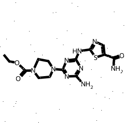 CCOC(=O)N1CCN(c2nc(N)nc(Nc3ncc(C(N)=O)s3)n2)CC1